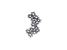 c1ccc2c(c1)-c1ccccc1C21c2ccccc2-c2ccc(-c3c4ccccc4cc4c3c3cccc5c6c(-c7ccc8c(c7)C7(c9ccccc9-c9ccccc97)c7ccccc7-8)c7ccccc7cc6n4c35)cc21